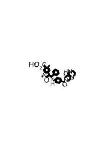 Cc1cc2c(cc1C(=O)O)N(C)C(=O)C2=C(Nc1ccc(C(=O)N2CCC3(CC2)C(=O)NCCCN3C)cc1)c1ccccc1